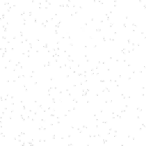 Cc1[nH]nc(Nc2ncnc3cc(OCCCN4CCN(C(=O)c5cnc(N6CCN(C)[C@H](C)C6)cn5)CC4)c(S(=O)(=O)C(C)(C)C)cc23)c1C